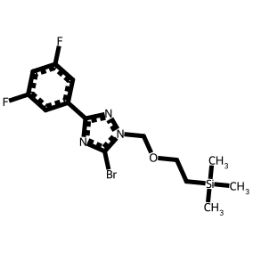 C[Si](C)(C)CCOCn1nc(-c2cc(F)cc(F)c2)nc1Br